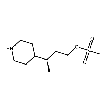 C[C@H](CCOS(C)(=O)=O)C1CCNCC1